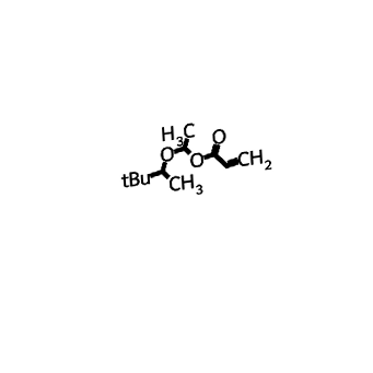 C=CC(=O)OC(C)OC(C)C(C)(C)C